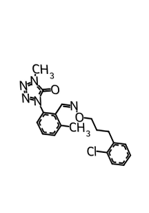 Cc1cccc(-n2nnn(C)c2=O)c1/C=N\OCCCc1ccccc1Cl